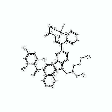 CCCCC(CC)Cn1c2ccc(/C(=N/OC(C)=O)c3ccccc3C(F)(F)F)cc2c2cc(C(=O)c3c(C)cc(C)cc3C)c3ccccc3c21